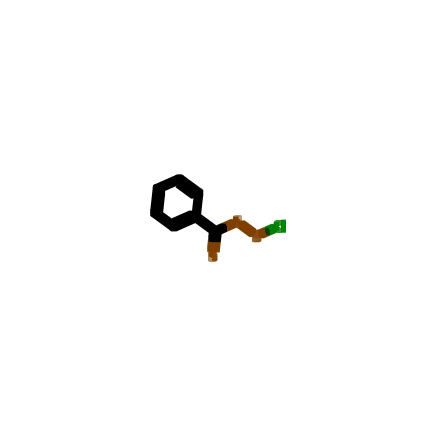 S=C(SSCl)c1ccccc1